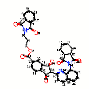 O=C(OCCCN1C(=O)c2ccccc2C1=O)c1ccc2c(c1)C(=O)C(c1ccc3cccc(N4C(=O)C5CC=CCC5C4=O)c3n1)C2=O